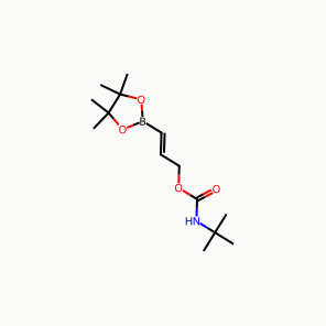 CC(C)(C)NC(=O)OCC=CB1OC(C)(C)C(C)(C)O1